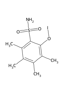 Cc1c(C)c(C)c(S(N)(=O)=O)c(OI)c1C